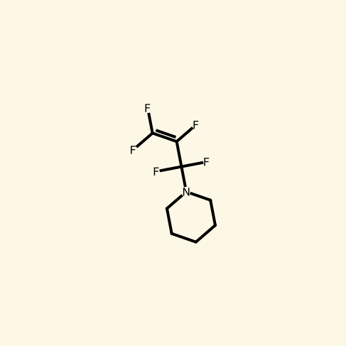 FC(F)=C(F)C(F)(F)N1CCCCC1